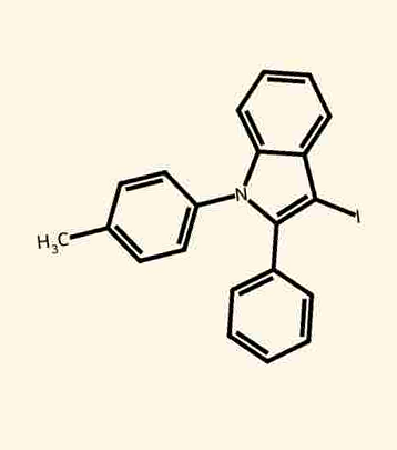 Cc1ccc(-n2c(-c3ccccc3)c(I)c3ccccc32)cc1